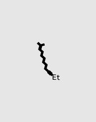 CCC#CCCCCCCC=C(C)C